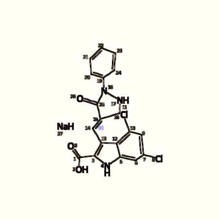 O=C(O)c1[nH]c2cc(Cl)cc(Cl)c2c1/C=C1\CNN(c2ccccc2)C1=O.[NaH]